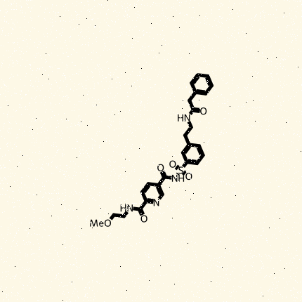 COCCNC(=O)c1ccc(C(=O)NS(=O)(=O)c2cccc(CCNC(=O)Cc3ccccc3)c2)cn1